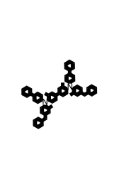 Cc1cc(Cc2ccccc2)ccc1N(c1ccc(-c2ccccc2)cc1)c1ccc(-c2ccc(N(c3ccc(-c4ccccc4)cc3)c3ccc(Cc4ccccc4)cc3C)c(C)c2)cc1C